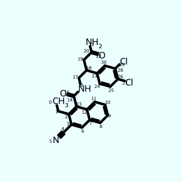 CCc1c(C#N)cc2ccccc2c1C(=O)NCC(CC(N)=O)c1ccc(Cl)c(Cl)c1